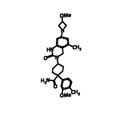 COc1cc(C2(C(N)=O)CCC(N3Cc4c(C)cc(N5CC(OC)C5)cc4NC3=O)CC2)ccc1C